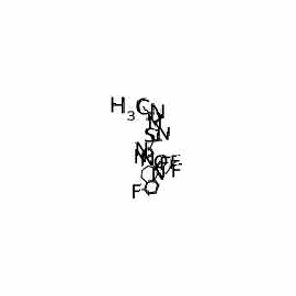 Cc1cn(-c2ncc(-c3cn(C4CCc5c(F)cccc5N(CC(F)(F)F)C4=O)nn3)s2)cn1